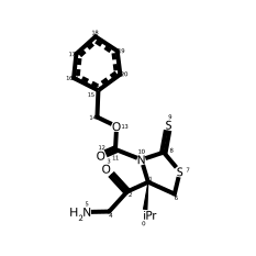 CC(C)[C@]1(C(=O)CN)CSC(=S)N1C(=O)OCc1ccccc1